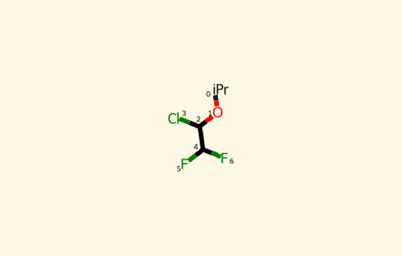 CC(C)OC(Cl)C(F)F